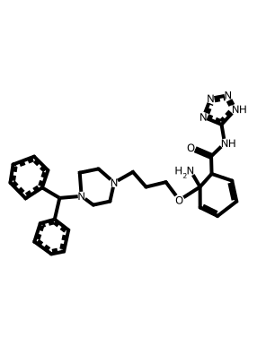 NC1(OCCCN2CCN(C(c3ccccc3)c3ccccc3)CC2)C=CC=CC1C(=O)Nc1nnn[nH]1